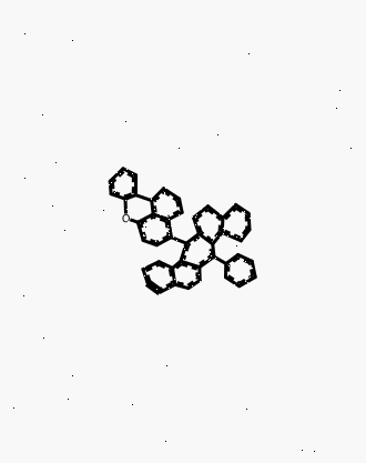 c1ccc2c(c#1)ccc1c(-c3ccccc3)c3c(ccc4ccccc43)c(-c3ccc4c5c(cccc35)-c3ccccc3O4)c12